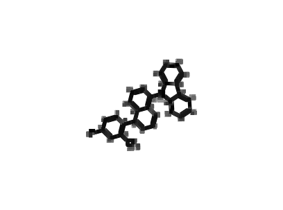 Fc1ccc(-c2cccc3c(-n4c5ccccc5c5ccccc54)cccc23)c(C(F)(F)F)c1